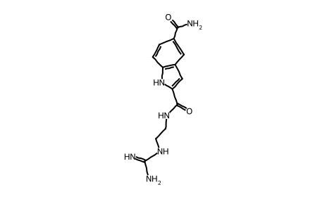 N=C(N)NCCNC(=O)c1cc2cc(C(N)=O)ccc2[nH]1